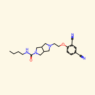 CCCCNC(=O)N1CC2CN(CCOc3ccc(C#N)cc3C#N)CC2C1